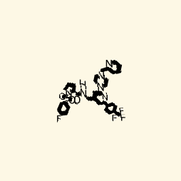 O=C(NCc1cc(-c2ccc(C(F)(F)F)cc2)nc(N2CCN(Cc3ccccn3)CC2)c1)[C@@H]1C=CCN1S(=O)(=O)c1ccc(F)cc1